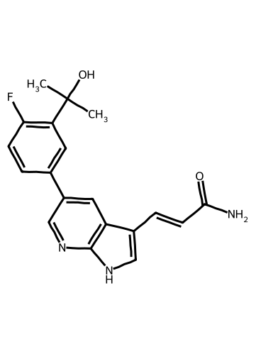 CC(C)(O)c1cc(-c2cnc3[nH]cc(C=CC(N)=O)c3c2)ccc1F